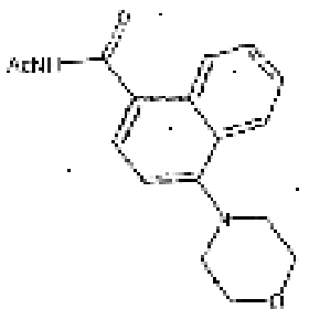 CC(=O)NC(=O)c1ccc(N2CCOCC2)c2ccccc12